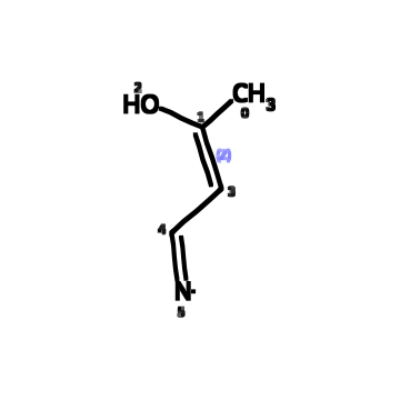 C/C(O)=C/C=[N]